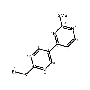 CCSc1n[c]c(-c2ccnc(SC)n2)cn1